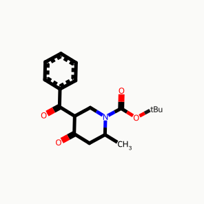 CC1CC(=O)C(C(=O)c2ccccc2)CN1C(=O)OC(C)(C)C